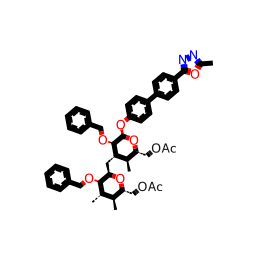 CC(=O)OC[C@H]1O[C@H](C[C@H]2[C@H](C)[C@@H](COC(C)=O)O[C@H](Oc3ccc(-c4ccc(-c5nnc(C)o5)cc4)cc3)[C@H]2OCc2ccccc2)[C@@H](OCc2ccccc2)[C@@H](C)[C@@H]1C